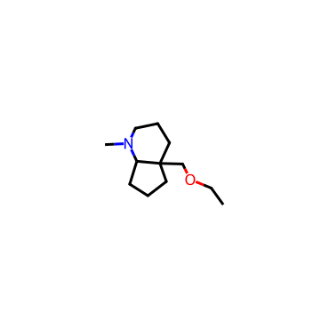 CCOCC12CCCC1N(C)CCC2